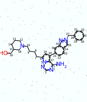 Nc1ncnn2c(CCCCN3CCCC(CO)C3)cc(-c3ccc4cn(Cc5ccccc5)nc4c3)c12